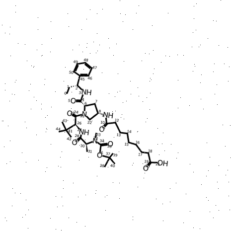 CC[C@@H](NC(=O)[C@@H]1C[C@H](NC(=O)CCCCCCCC(=O)O)CN1C(=O)[C@@H](NC(=O)[C@H](C)N(C)C(=O)OC(C)(C)C)C(C)(C)C)c1ccccc1